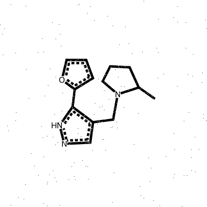 CC1CCCN1Cc1cn[nH]c1-c1ccco1